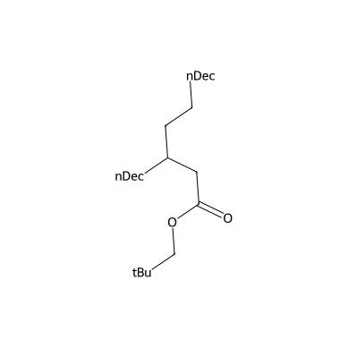 CCCCCCCCCCCCC(CCCCCCCCCC)CC(=O)OCC(C)(C)C